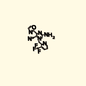 N#CC1=C(c2ncco2)N=C(N)CN1Cc1ncccc1C(F)(F)F